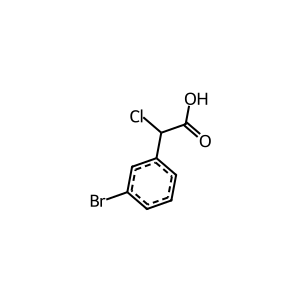 O=C(O)C(Cl)c1cccc(Br)c1